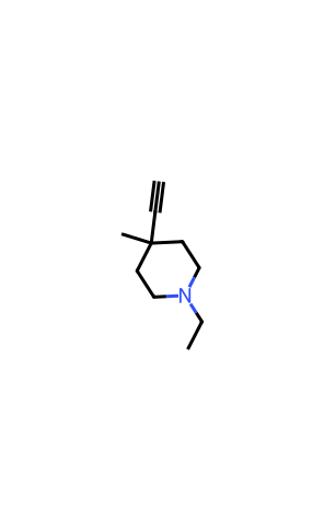 C#CC1(C)CCN(CC)CC1